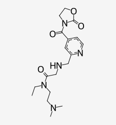 CCN(CCN(C)C)C(=O)CNCc1cc(C(=O)N2CCOC2=O)ccn1